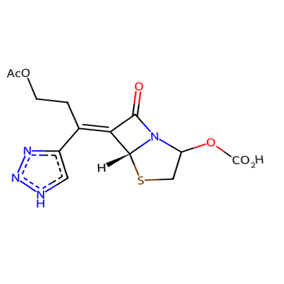 CC(=O)OCC/C(=C1\C(=O)N2C(OC(=O)O)CS[C@H]12)c1c[nH]nn1